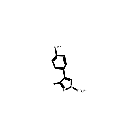 CCOC(=O)n1cc(-c2ccc(OC)cc2)c(C)n1